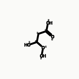 O=C(O)CC(O)OO